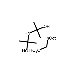 CC(C)(O)NC(C)(C)O.CCCCCCCCCC(=O)O